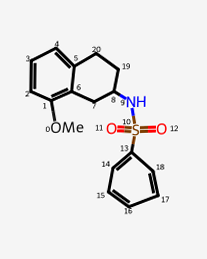 COc1cccc2c1CC(NS(=O)(=O)c1ccccc1)CC2